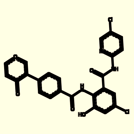 O=C(Nc1c(O)cc(Cl)cc1C(=O)Nc1ccc(Cl)cn1)c1ccc(-c2coccc2=O)cc1